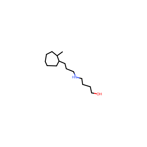 CC1CCCCCC1CCCNCCCCO